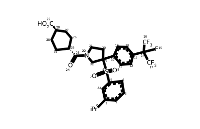 CC(C)c1cccc(S(=O)(=O)C2(c3ccc(C(F)(C(F)(F)F)C(F)(F)F)cc3)CCN(C(=O)[C@H]3CC[C@H](C(=O)O)CC3)C2)c1